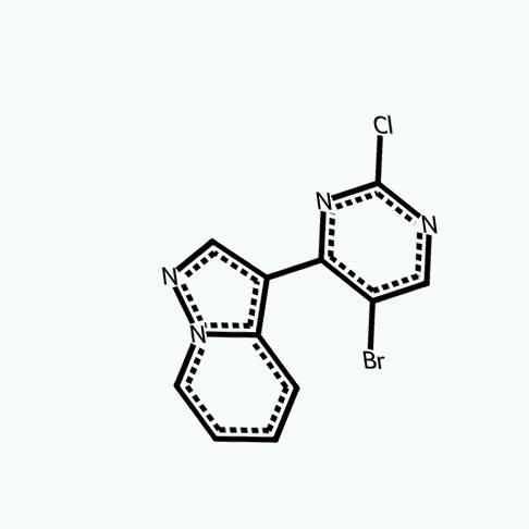 Clc1ncc(Br)c(-c2cnn3ccccc23)n1